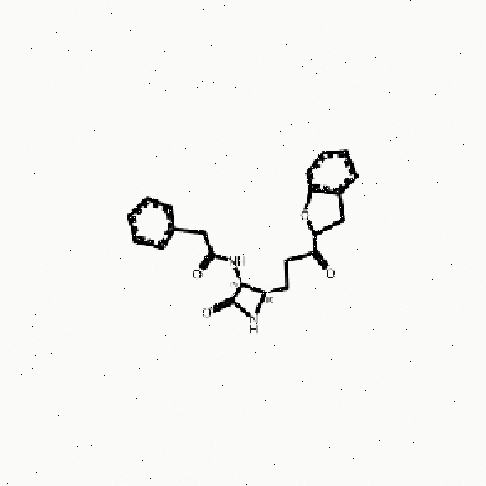 O=C(Cc1ccccc1)N[C@@H]1C(=O)N[C@@H]1CCC(=O)C1Cc2ccccc2O1